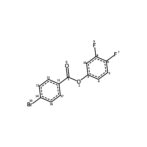 O=C(Oc1ccc(F)c(F)c1)c1ccc(Br)cc1